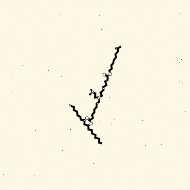 CCCCCCCCC(CCCCCCCCF)OC(=O)CCCCCCCN(CCCCCCCC(=O)OCCCCCCCCC(C)C)CCN(C)C